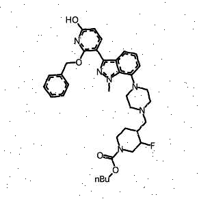 CCCCOC(=O)N1CCC(CN2CCN(c3cccc4c(-c5ccc(O)nc5OCc5ccccc5)nn(C)c34)CC2)C(F)C1